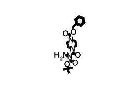 CC(C)(C)OC(=O)N(N)C(=O)N1CCN(C(=O)OCc2ccccc2)CC1